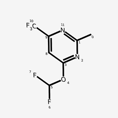 Cc1nc(OC(F)F)cc(C(F)(F)F)n1